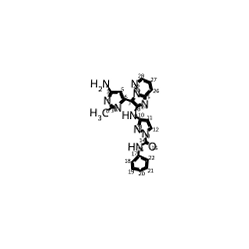 Cc1nc(N)cc(-c2c(Nc3ccn(C(=O)Nc4ccccc4)n3)nc3cccnn23)n1